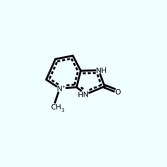 C[n+]1cccc2[nH]c(=O)[nH]c21